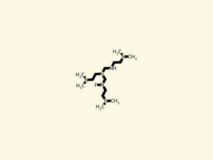 CN(C)CCNCN(CCN(C)C)CN(F)CCN(C)C